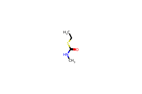 CCSC(=O)NC